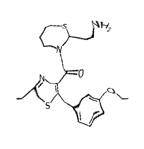 COc1cccc(-c2sc(C)nc2C(=O)N2CCSC2CN)c1